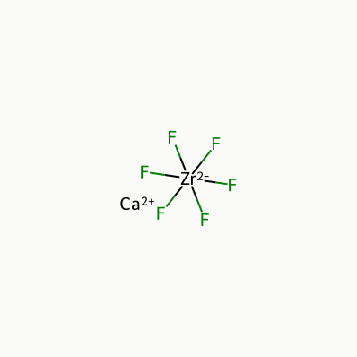 [Ca+2].[F][Zr-2]([F])([F])([F])([F])[F]